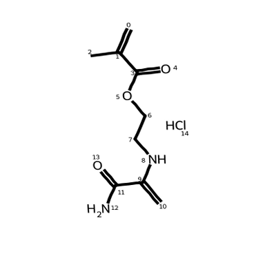 C=C(C)C(=O)OCCNC(=C)C(N)=O.Cl